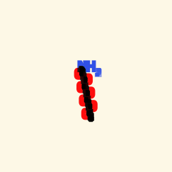 CCCC(=O)CCC(=O)CCC(=O)CCC(=O)CCC(=O)CCC(=O)CCC(=O)CCN